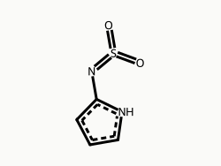 O=S(=O)=Nc1ccc[nH]1